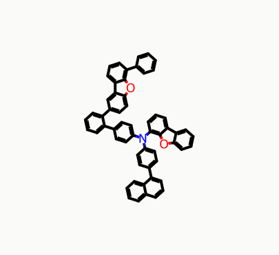 c1ccc(-c2cccc3c2oc2ccc(-c4ccccc4-c4ccc(N(c5ccc(-c6cccc7ccccc67)cc5)c5cccc6c5oc5ccccc56)cc4)cc23)cc1